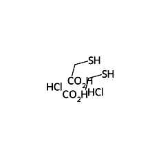 Cl.Cl.O=C(O)CS.O=C(O)CS